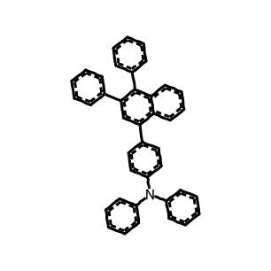 c1ccc(-c2cc(-c3ccc(N(c4ccccc4)c4ccccc4)cc3)c3ccccc3c2-c2ccccc2)cc1